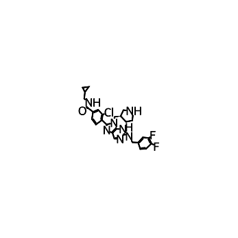 O=C(NCC1CC1)c1ccc(-c2nc3cnc(NCc4ccc(F)c(F)c4)nc3n2C[C@@H]2CCCNC2)c(Cl)c1